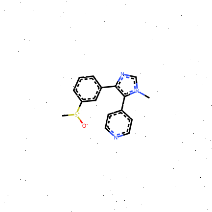 Cn1cnc(-c2cccc([S+](C)[O-])c2)c1-c1ccncc1